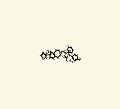 CC(=O)N(c1ccc(F)cc1)C1(CCN2CCc3ccc(C4(C)C=CON4)cc3CC2)CCCCC1